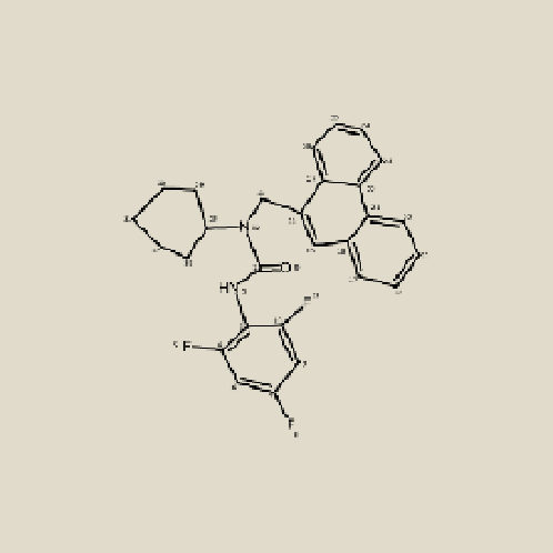 O=C(Nc1c(F)cc(F)cc1F)N(Cc1cc2ccccc2c2ccccc12)C1CCCCC1